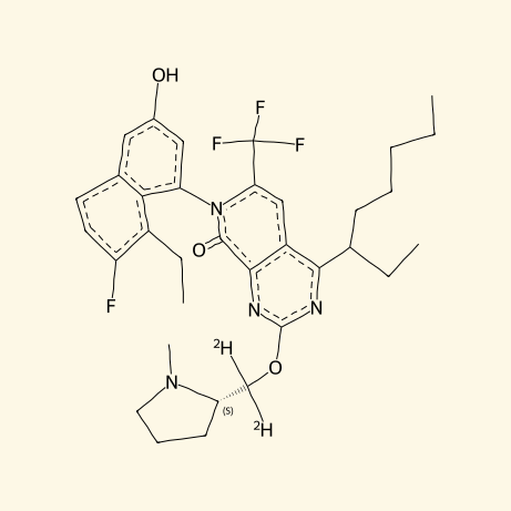 [2H]C([2H])(Oc1nc(C(CC)CCCCC)c2cc(C(F)(F)F)n(-c3cc(O)cc4ccc(F)c(CC)c34)c(=O)c2n1)[C@@H]1CCCN1C